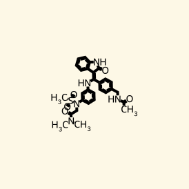 CC(=O)NCc1ccc(C(Nc2cccc(N(CC(=O)N(C)C)S(C)(=O)=O)c2)=C2C(=O)Nc3ccccc32)cc1